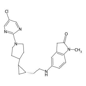 CN1C(=O)Cc2cc(NCC[C@@H]3CC3C3CCN(c4ncc(Cl)cn4)CC3)ccc21